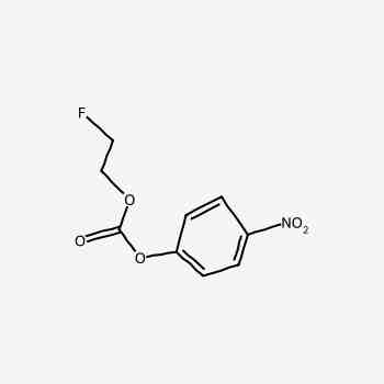 O=C(OCCF)Oc1ccc([N+](=O)[O-])cc1